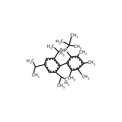 Cc1c(C)c(C)c(-c2c(C(C)C)cc(C(C)C)cc2C(C)C)c(PC(C)(C)C)c1C